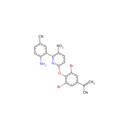 C=C(C#N)c1cc(Br)c(Oc2ccc([N+](=O)[O-])c(-c3cc(C#N)ccc3N)n2)c(Br)c1